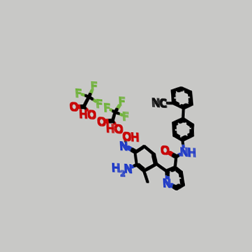 CC1=C(N)C(=NO)CC=C1c1ncccc1C(=O)Nc1ccc(-c2ccccc2C#N)cc1.O=C(O)C(F)(F)F.O=C(O)C(F)(F)F